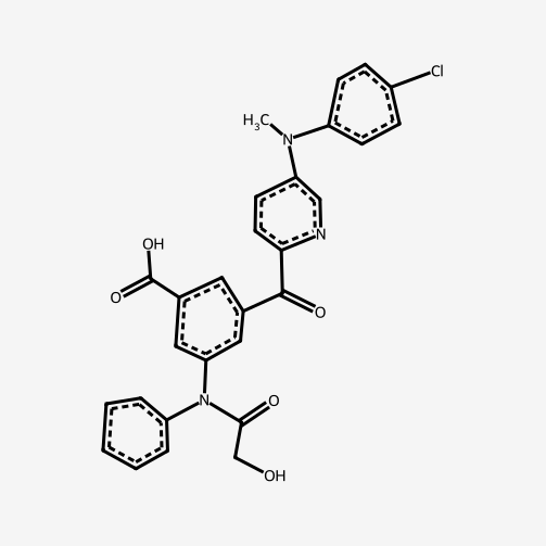 CN(c1ccc(Cl)cc1)c1ccc(C(=O)c2cc(C(=O)O)cc(N(C(=O)CO)c3ccccc3)c2)nc1